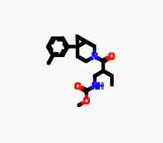 CCC(CNC(=O)OC)C(=O)N1CCC2(c3cccc(C)c3)CC2C1